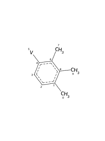 Cc1cc[c]([V])c(C)c1C